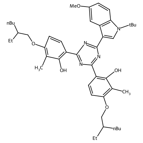 CCCCC(CC)COc1ccc(-c2nc(-c3ccc(OCC(CC)CCCC)c(C)c3O)nc(-c3cn(C(C)(C)C)c4ccc(OC)cc34)n2)c(O)c1C